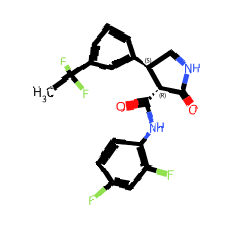 CC(F)(F)c1cccc([C@H]2CNC(=O)[C@@H]2C(=O)Nc2ccc(F)cc2F)c1